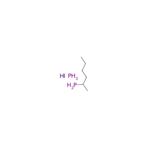 CCCCC(C)P.I.P